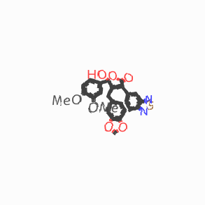 COc1ccc(C2(O)OC(=O)C(c3ccc4nsnc4c3)=C2Cc2ccc3c(c2)OCO3)cc1OC